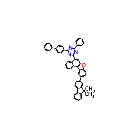 CC1(C)c2ccccc2-c2ccc(-c3ccc4oc5cc(-c6nc(-c7ccccc7)nc(-c7ccc(-c8ccccc8)cc7)n6)c6ccccc6c5c4c3)cc21